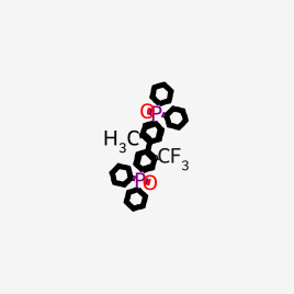 Cc1cc(P(=O)(C2CCCCC2)C2CCCCC2)ccc1-c1ccc(P(=O)(C2CCCCC2)C2CCCCC2)cc1C(F)(F)F